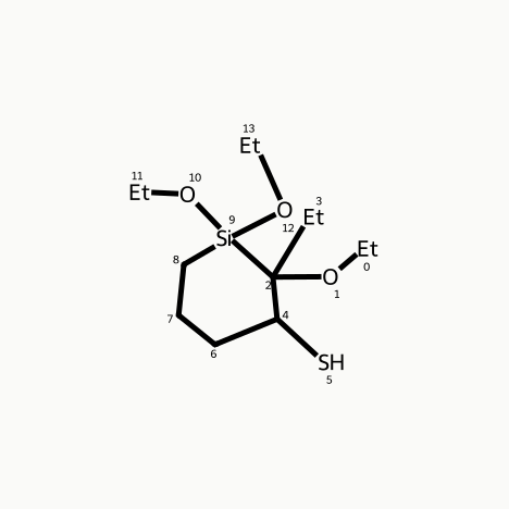 CCOC1(CC)C(S)CCC[Si]1(OCC)OCC